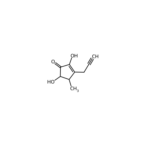 C#CCC1=C(O)C(=O)C(O)C1C